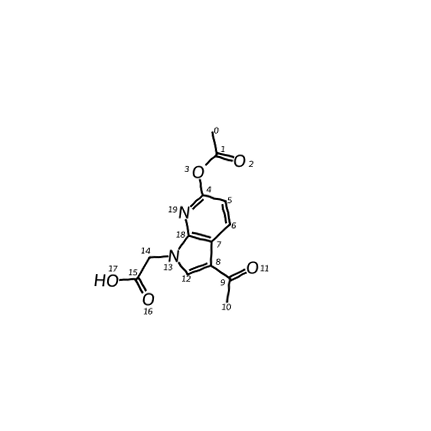 CC(=O)Oc1ccc2c(C(C)=O)cn(CC(=O)O)c2n1